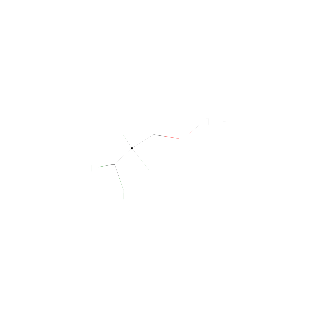 O=[C]OCC(F)(F)C(F)F